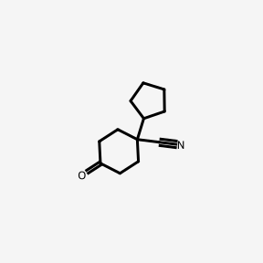 N#CC1(C2CCCC2)CCC(=O)CC1